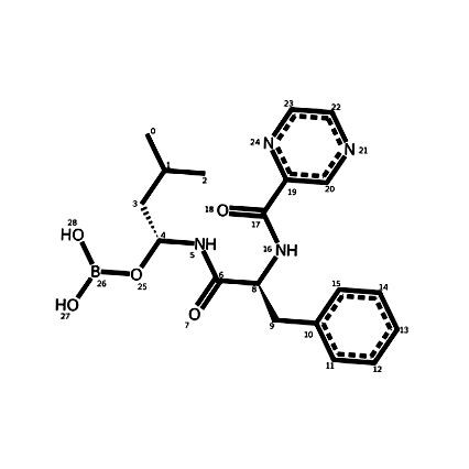 CC(C)C[C@H](NC(=O)[C@H](Cc1ccccc1)NC(=O)c1cnccn1)OB(O)O